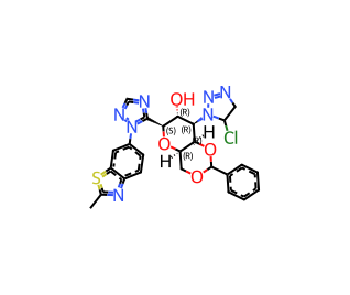 Cc1nc2ccc(-n3ncnc3[C@@H]3O[C@@H]4COC(c5ccccc5)O[C@@H]4[C@H](N4N=NCC4Cl)[C@H]3O)cc2s1